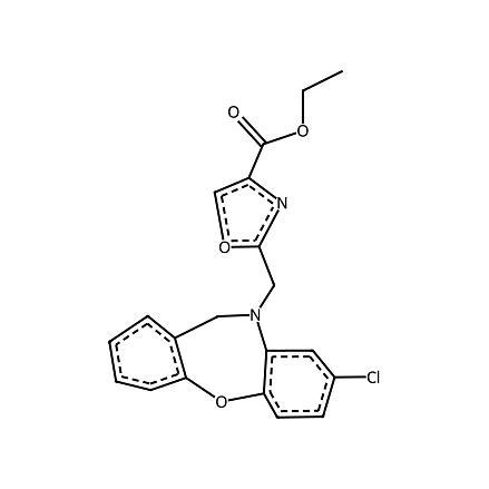 CCOC(=O)c1coc(CN2Cc3ccccc3Oc3ccc(Cl)cc32)n1